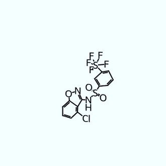 O=S(=O)(Nc1noc2cccc(Cl)c12)c1cccc(S(F)(F)(F)(F)F)c1